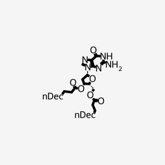 CCCCCCCCCCCCC(=O)OC[C@H]1O[C@@H](n2cnc3c(=O)[nH]c(N)nc32)C[C@@H]1OC(=O)CCCCCCCCCCCC